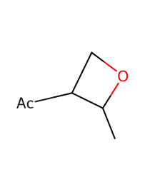 CC(=O)C1COC1C